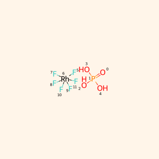 O=P(O)(O)O.[F][Rh]([F])([F])([F])([F])[F]